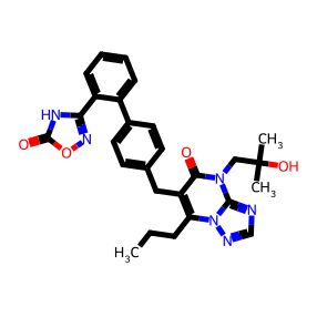 CCCc1c(Cc2ccc(-c3ccccc3-c3noc(=O)[nH]3)cc2)c(=O)n(CC(C)(C)O)c2ncnn12